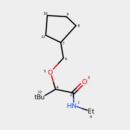 CCNC(=O)C(OCC1CCCC1)C(C)(C)C